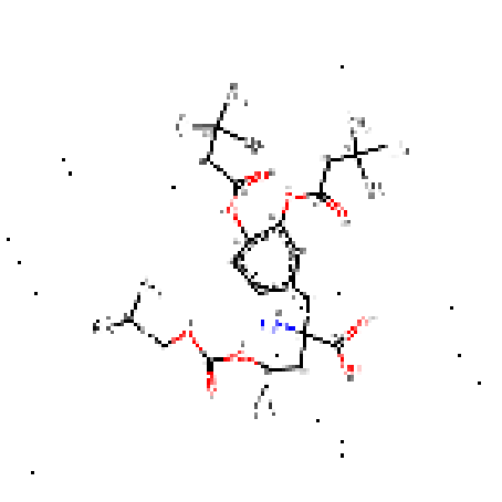 CC(C)COC(=O)O[C@@H](C)CC(N)(Cc1ccc(OC(=O)CC(C)(C)C)c(OC(=O)CC(C)(C)C)c1)C(=O)O